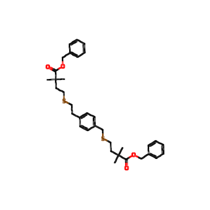 CC(C)(CCSCCc1ccc(CSCCC(C)(C)C(=O)OCc2ccccc2)cc1)C(=O)OCc1ccccc1